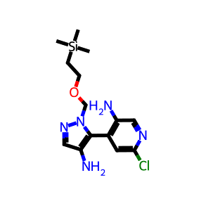 C[Si](C)(C)CCOCn1ncc(N)c1-c1cc(Cl)ncc1N